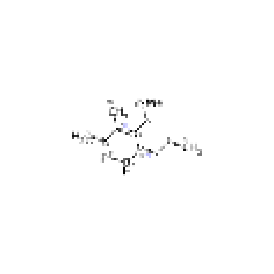 C=C/C=C(BC(C)C)\C(CNC)=C(\C)C=C